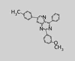 COc1cccc(-c2nc(-c3ccccc3)c3ncc(-c4ccc(C)cc4)cc3n2)c1